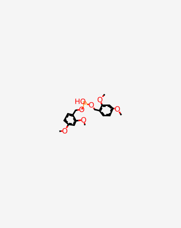 COc1ccc(COP(O)OCc2ccc(OC)cc2OC)c(OC)c1